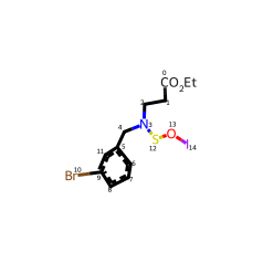 CCOC(=O)CCN(Cc1cccc(Br)c1)SOI